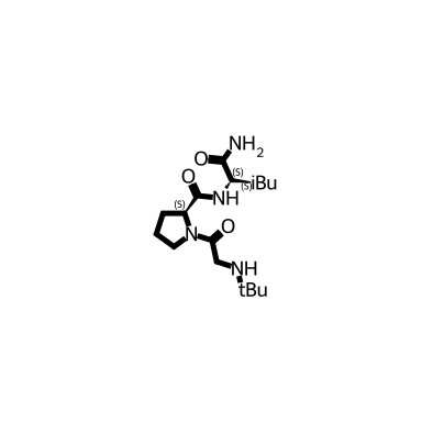 CC[C@H](C)[C@H](NC(=O)[C@@H]1CCCN1C(=O)CNC(C)(C)C)C(N)=O